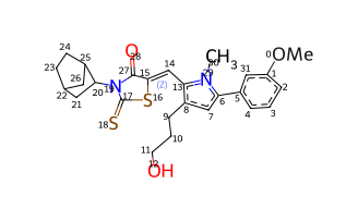 COc1cccc(-c2cc(CCCO)c(/C=C3\SC(=S)N(C4CC5CCC4C5)C3=O)n2C)c1